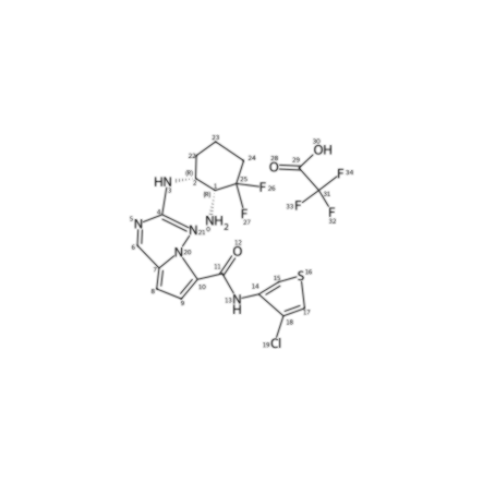 N[C@@H]1[C@H](Nc2ncc3ccc(C(=O)Nc4cscc4Cl)n3n2)CCCC1(F)F.O=C(O)C(F)(F)F